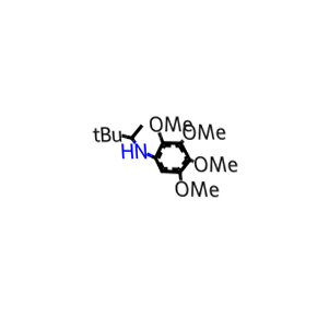 COc1cc(NC(C)C(C)(C)C)c(OC)c(OC)c1OC